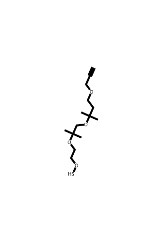 C#CCOCCC(C)(C)OCC(C)(C)OCCOS